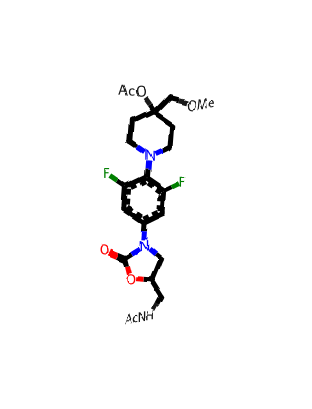 COCC1(OC(C)=O)CCN(c2c(F)cc(N3CC(CNC(C)=O)OC3=O)cc2F)CC1